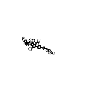 CC(C)(C)[Si](C)(C)OCC1CC(c2ccc(-c3cc(Cl)c4cn(C(C(=O)O)c5ncn6c5CC(F)C6)nc4c3Cl)cc2)C1